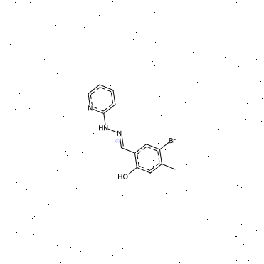 Cc1cc(O)c(/C=N/Nc2ccccn2)cc1Br